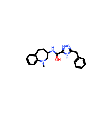 CN1CC(NC(O)c2nnc(Cc3ccccc3)[nH]2)CCc2ccccc21